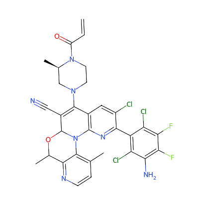 C=CC(=O)N1CCN(C2=C(C#N)C3OC(C)c4nccc(C)c4N3c3nc(-c4c(Cl)c(N)c(F)c(F)c4Cl)c(Cl)cc32)C[C@H]1C